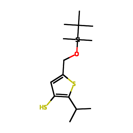 CC(C)c1sc(CO[Si](C)(C)C(C)(C)C)cc1S